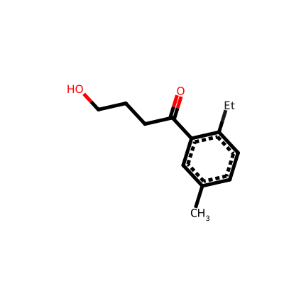 CCc1ccc(C)cc1C(=O)CCCO